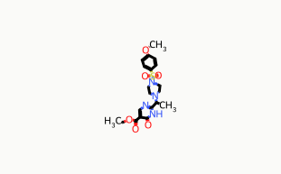 CCOC(=O)c1cnc(C(C)N2CCN(S(=O)(=O)c3ccc(OC)cc3)CC2)[nH]c1=O